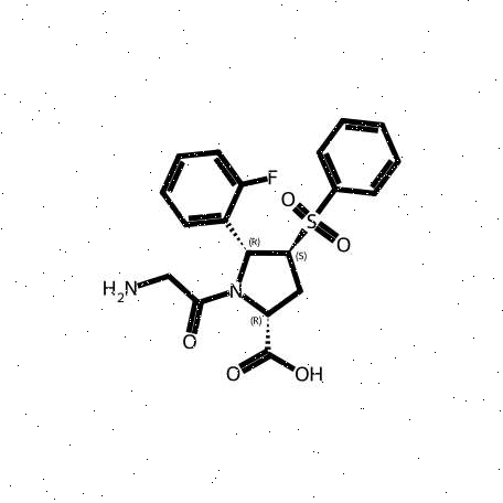 NCC(=O)N1[C@@H](C(=O)O)C[C@H](S(=O)(=O)c2ccccc2)[C@H]1c1ccccc1F